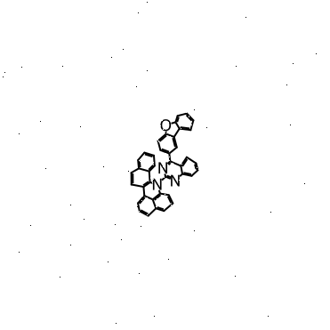 c1ccc2c3c(ccc2c1)-c1cccc2cccc(c12)N3c1nc(-c2ccc3oc4ccccc4c3c2)c2ccccc2n1